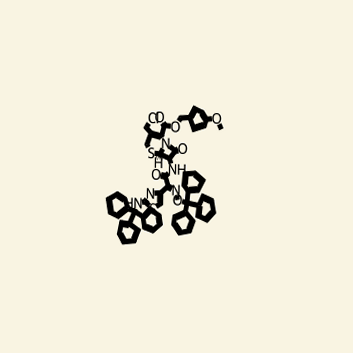 COc1ccc(COC(=O)C2=C(CCl)CS[C@H]3C(NC(=O)C(=NOC(c4ccccc4)(c4ccccc4)c4ccccc4)c4csc(NC(c5ccccc5)(c5ccccc5)c5ccccc5)n4)C(=O)N23)cc1